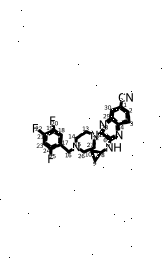 N#Cc1ccc2nc(NC3CC3)c(N3CCN(Cc4cc(F)c(F)cc4F)CC3)nc2c1